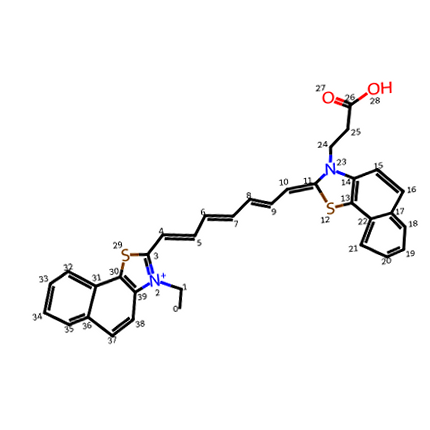 CC[n+]1c(/C=C/C=C/C=C/C=C2\Sc3c(ccc4ccccc34)N2CCC(=O)O)sc2c3ccccc3ccc21